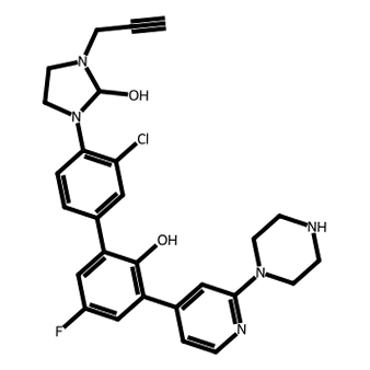 C#CCN1CCN(c2ccc(-c3cc(F)cc(-c4ccnc(N5CCNCC5)c4)c3O)cc2Cl)C1O